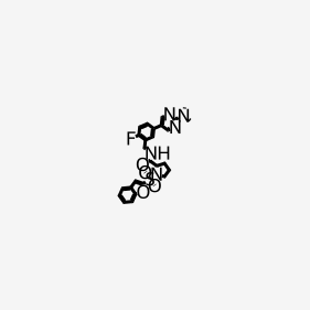 CN(C)c1ncc(-c2ccc(F)c(CNC(=O)C3CCCN3S(=O)(=O)c3cc4ccccc4o3)c2)cn1